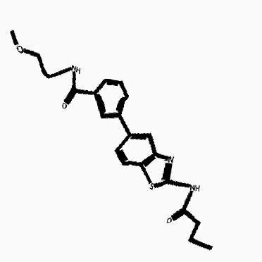 CCCC(=O)Nc1nc2cc(-c3cccc(C(=O)NCCOC)c3)ccc2s1